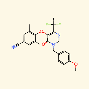 COc1ccc(Cn2cnc(C(C)(F)F)c(Oc3c(C)cc(C#N)cc3C)c2=O)cc1